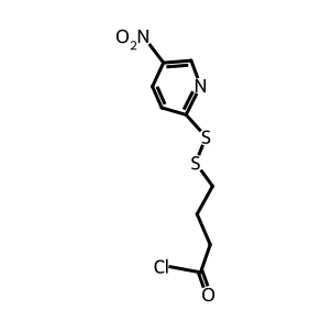 O=C(Cl)CCCSSc1ccc([N+](=O)[O-])cn1